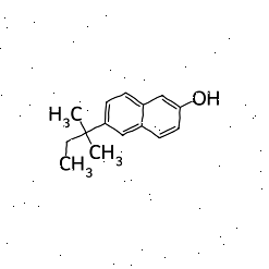 CCC(C)(C)c1ccc2cc(O)ccc2c1